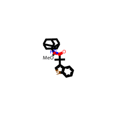 COC(=O)C12CC3CC(C1)C(NC(=O)C(C)(C)c1csc4ccccc14)C(C3)C2